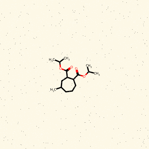 CC1CCCC(C(=O)OC(C)C)C(C(=O)OC(C)C)C1